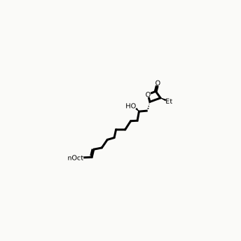 CCCCCCCCC=CCCCCCCC[C@@H](O)C[C@@H]1OC(=O)[C@H]1CC